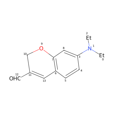 CCN(CC)c1ccc2c(c1)OCC(C=O)=C2